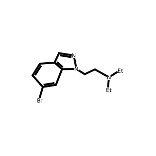 CCN(CC)CCn1ncc2ccc(Br)cc21